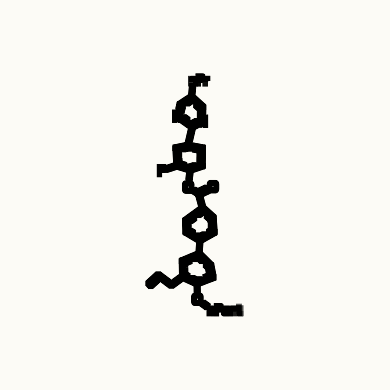 C=CCc1cc(-c2ccc(C(=O)Oc3ccc(-c4ncc(CCC)cn4)cc3F)cc2)ccc1OCCCCC